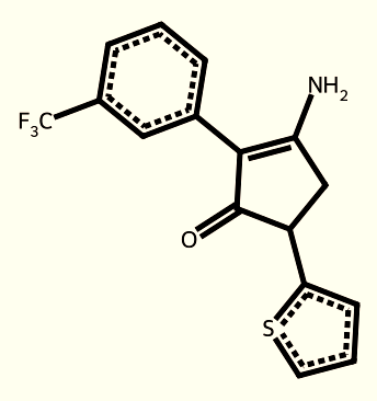 NC1=C(c2cccc(C(F)(F)F)c2)C(=O)C(c2cccs2)C1